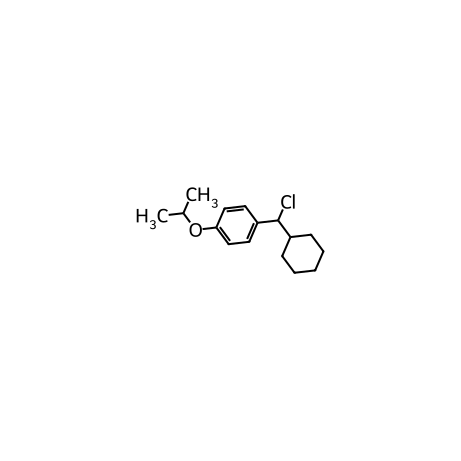 CC(C)Oc1ccc(C(Cl)C2CCCCC2)cc1